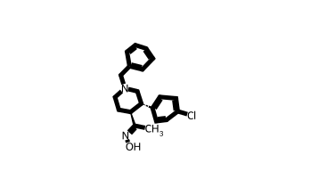 C/C(=N\O)[C@H]1CCN(Cc2ccccc2)C[C@@H]1c1ccc(Cl)cc1